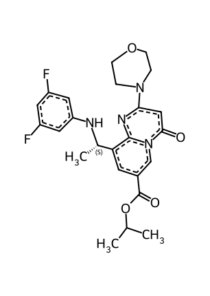 CC(C)OC(=O)c1cc([C@H](C)Nc2cc(F)cc(F)c2)c2nc(N3CCOCC3)cc(=O)n2c1